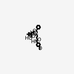 COc1ccc(NC(=O)C=C[C@H](CCc2ccccc2)NC(=O)[C@H](C)N(C(=O)O)C(C)(C)C)cc1